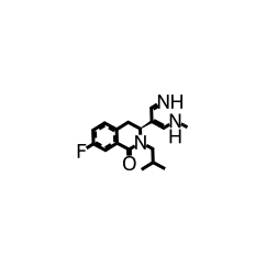 CN/C=C(\C=N)[C@@H]1Cc2ccc(F)cc2C(=O)N1CC(C)C